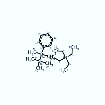 CC[N+](CC)(CC)CC.C[B-](C)(c1ccccc1)[Si](C)(C)C